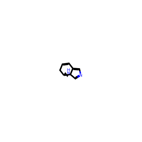 C1=CC2=CN=CC23NCC=C3C1